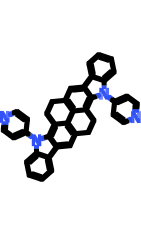 c1ccc2c(c1)c1cc3c4c(c1n2-c1ccncc1)CCc1cc2c5ccccc5n(-c5ccncc5)c2c(c1-4)CC3